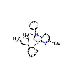 C=CC1c2ccccc2N2c3nc(C(C)(C)C)ccc3N(c3ccccc3)C2C1(C)C